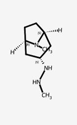 CNN[C@@H]1C[C@H]2CC[C@@H](C1)N2C